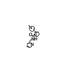 CN1CC=C([C@@H]2CCCN2C(=O)NCc2ccccn2)CC1